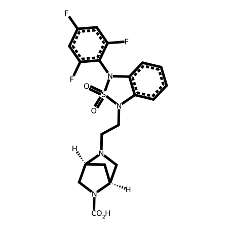 O=C(O)N1C[C@@H]2C[C@H]1CN2CCN1c2ccccc2N(c2c(F)cc(F)cc2F)S1(=O)=O